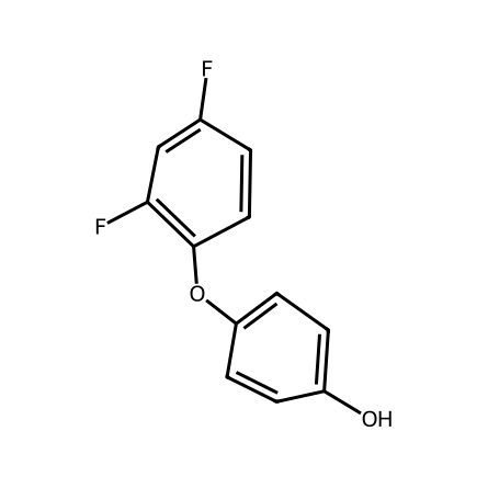 Oc1ccc(Oc2ccc(F)cc2F)cc1